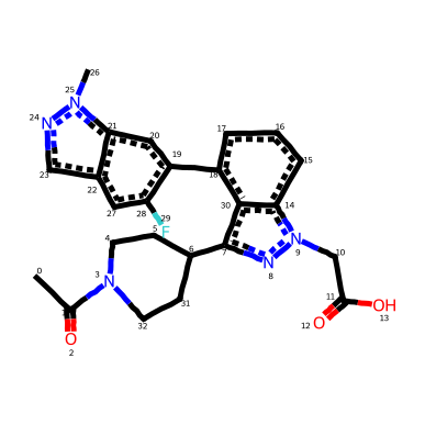 CC(=O)N1CCC(c2nn(CC(=O)O)c3cccc(-c4cc5c(cnn5C)cc4F)c23)CC1